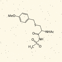 COc1ccc(CSCC(NC(C)=O)C(=O)NS(C)(=O)=O)cc1